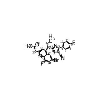 CCN(c1nc(-c2ccc(F)cc2)c(C#N)s1)c1cc(CC(=O)O)nc2c(F)cc(Br)cc12